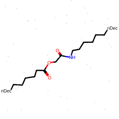 CCCCCCCCCCCCCCCCNC(=O)COC(=O)CCCCCCCCCCCCCCC